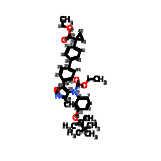 CCOC(=O)N(c1cccc(O[Si](C)(C)C(C)(C)C)c1)c1c(C)noc1-c1ccc(-c2ccc(C3(C(=O)OCC)CC3)cc2)cc1